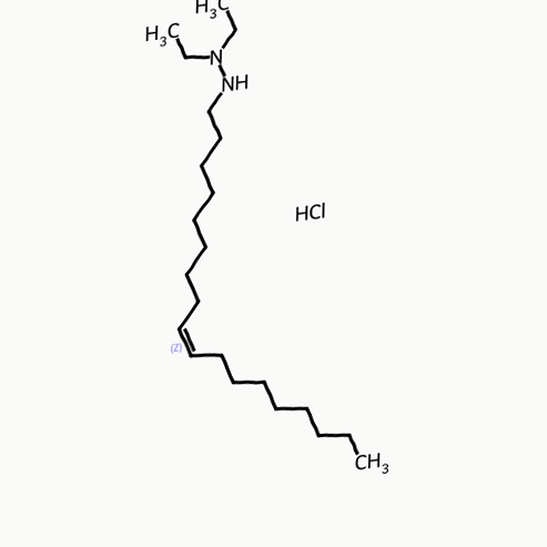 CCCCCCCC/C=C\CCCCCCCCNN(CC)CC.Cl